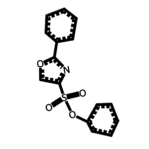 O=S(=O)(Oc1ccccc1)c1coc(-c2ccccc2)n1